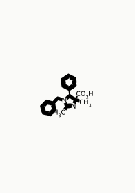 CC1=N[C@](C)(C(=O)O)[C@H](c2ccccc2)N1Cc1ccccc1